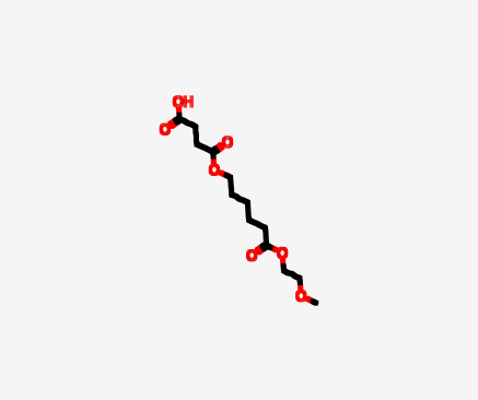 COCCOC(=O)CCCCCOC(=O)CCC(=O)O